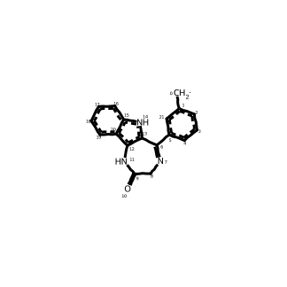 [CH2]c1cccc(C2=NCC(=O)Nc3c2[nH]c2ccccc32)c1